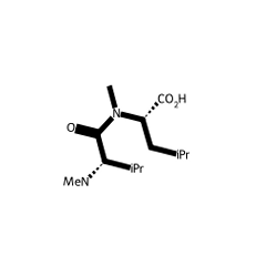 CN[C@H](C(=O)N(C)[C@@H](CC(C)C)C(=O)O)C(C)C